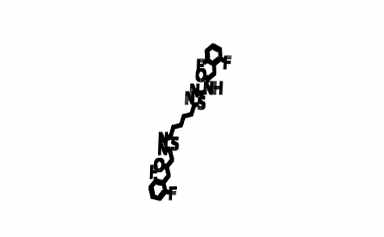 O=C(Cc1nnc(CCCCc2nnc(NC(=O)Cc3c(F)cccc3F)s2)s1)Cc1c(F)cccc1F